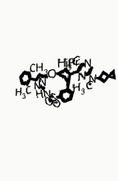 Cc1cccc(C)c1-c1cc2nc(n1)NS(=O)(=O)c1cccc(c1)C1CC(O2)C(C(C)C)C1c1nc(N(C)C2CC3(CC3)C2)cnc1C